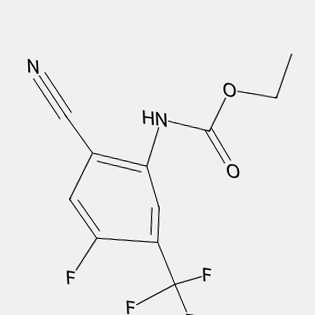 CCOC(=O)Nc1cc(C(F)(F)F)c(F)cc1C#N